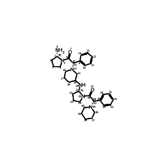 N[C@H]1CCCN1C(=O)[C@H](c1ccccc1)N1CCCC(N[C@@H]2CCCN2C(=O)[C@H](c2ccccc2)N2CCCCC2)C1